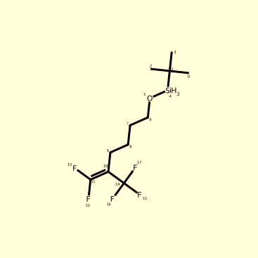 CC(C)(C)[SiH2]OCCCCC(=C(F)F)C(F)(F)F